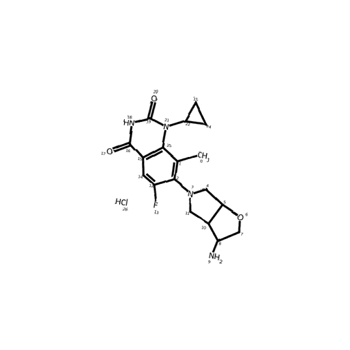 Cc1c(N2CC3OCC(N)C3C2)c(F)cc2c(=O)[nH]c(=O)n(C3CC3)c12.Cl